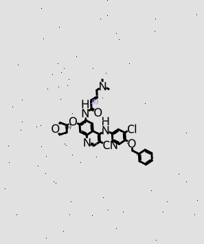 CN(C)C/C=C/C(=O)Nc1cc2c(Nc3ccc(OCc4ccccc4)c(Cl)c3)c(C#N)cnc2cc1O[C@H]1CCOC1